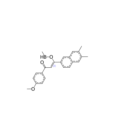 CBO/C(=C\C(=O)c1ccc(OC)cc1)c1ccc2cc(C)c(C)cc2c1